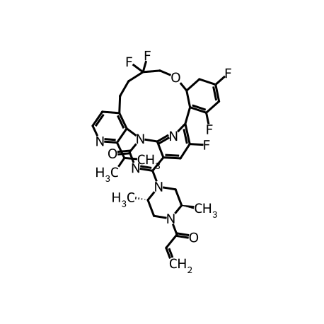 C=CC(=O)N1C[C@H](C)N(c2nc(=O)n3c4nc(c(F)cc24)C2=C(F)C=C(F)CC2OCC(F)(F)CCc2ccnc(C(C)C)c2-3)C[C@H]1C